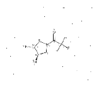 [2H][C@@H]1CN(C(=O)C(C)(C)F)C[C@H]1F